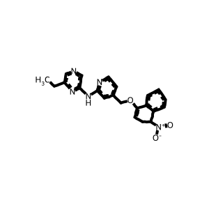 CCc1cncc(Nc2cc(COC3=CCC([N+](=O)[O-])c4ccccc43)ccn2)n1